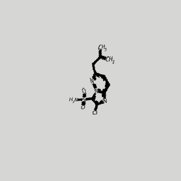 CC(C)Cc1ccc2nc(Cl)c(S(N)(=O)=O)n2n1